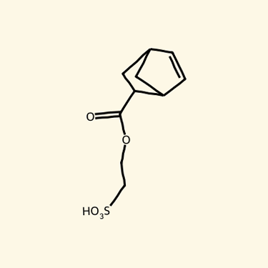 O=C(OCCS(=O)(=O)O)C1CC2C=CC1C2